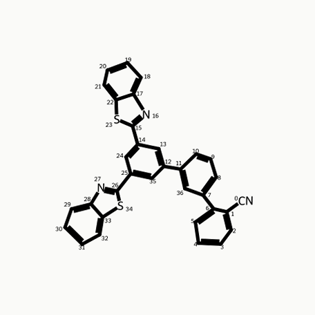 N#Cc1ccccc1-c1cccc(-c2cc(-c3nc4ccccc4s3)cc(-c3nc4ccccc4s3)c2)c1